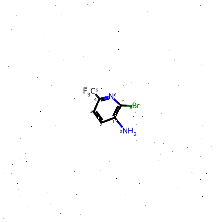 Nc1ccc(C(F)(F)F)nc1Br